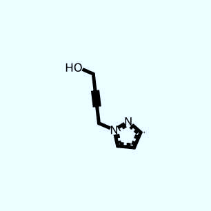 OCC#CCn1cc[c]n1